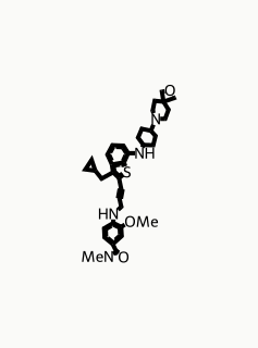 CNC(=O)c1ccc(NCC#Cc2sc3c(NC4CCC(N5CCC6(CC5)COC6)CC4)cccc3c2CC2CC2)c(OC)c1